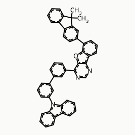 CC1(C)c2ccccc2-c2ccc(-c3cccc4c3oc3c(-c5cccc(-c6cccc(-n7c8ccccc8c8ccccc87)c6)c5)ncnc34)cc21